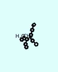 CC1(C)c2ccccc2-c2c(-c3ccc4ccccc4c3)cc(N(c3ccc(-c4ccc(C5CC6CCC5C6)cc4)cc3)c3ccc(C4CCCCC4)cc3)cc21